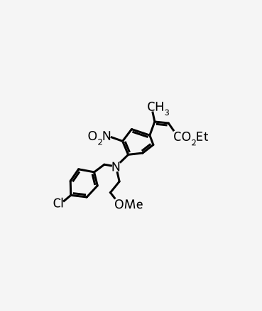 CCOC(=O)/C=C(/C)c1ccc(N(CCOC)Cc2ccc(Cl)cc2)c([N+](=O)[O-])c1